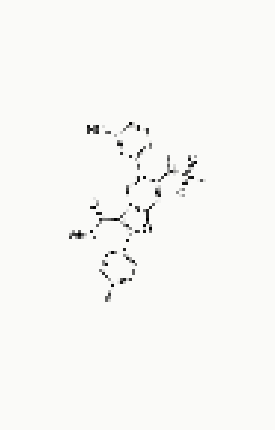 CNC(=O)c1c(-c2ccc(F)cc2)oc2cc(N(C)S(C)(=O)=O)c(-c3cccc(C#N)c3)cc12